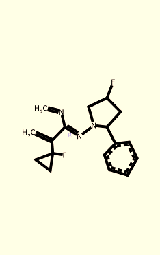 C=N/C(=N\N1CC(F)CC1c1ccccc1)C(=C)C1(F)CC1